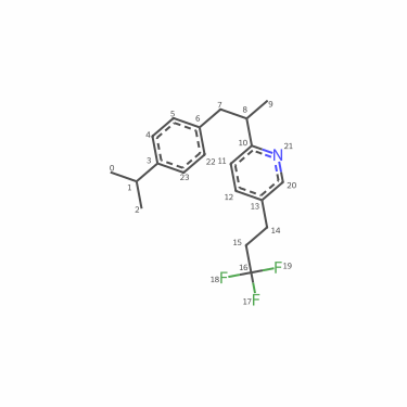 CC(C)c1ccc(CC(C)c2ccc(CCC(F)(F)F)cn2)cc1